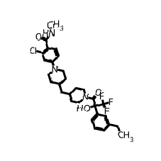 CCc1cccc(C(O)(C(=O)N2CCC(CC3CCN(c4ccc(C(=O)NC)c(Cl)c4)CC3)CC2)C(F)(F)F)c1